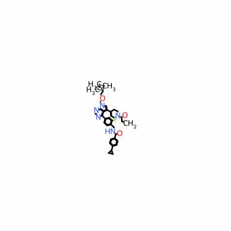 C=CC(=O)N1CC=C(c2cn(COCC[Si](C)(C)C)c3ncnc(-c4ccc(CNC(=O)c5ccc(C6CC6)cc5)c(F)c4)c23)CC1